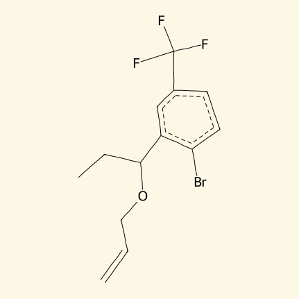 C=CCOC(CC)c1cc(C(F)(F)F)ccc1Br